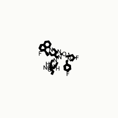 C#Cc1c(F)ccc2c1[C@@H](N1CCc3c(nc(OC[C@]4(C)C[C@@H](F)CN4Cc4ccc(F)cc4)nc3N3C[C@H]4CC(C#N)[C@@H](C3)N4C(=O)C=C)C1)CCC2